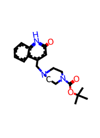 CC(C)(C)OC(=O)N1CCN(Cc2cc(=O)[nH]c3ccccc23)CC1